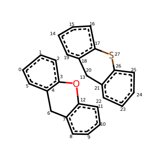 c1ccc2c(c1)Cc1ccccc1O2.c1ccc2c(c1)Cc1ccccc1S2